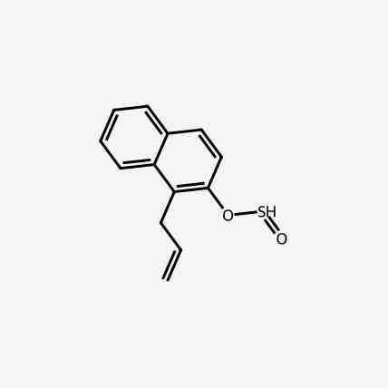 C=CCc1c(O[SH]=O)ccc2ccccc12